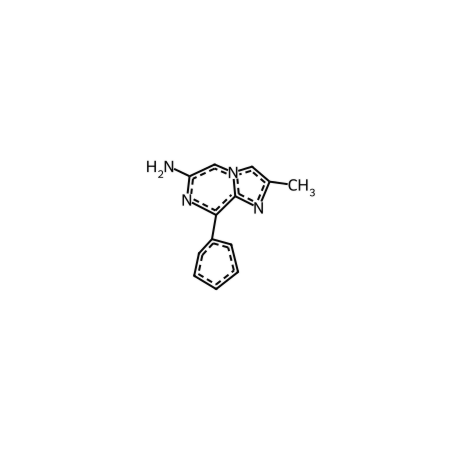 Cc1cn2cc(N)nc(-c3ccccc3)c2n1